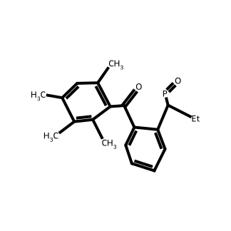 CCC(P=O)c1ccccc1C(=O)c1c(C)cc(C)c(C)c1C